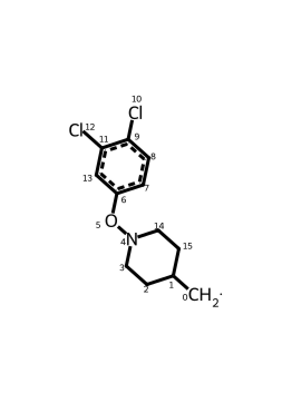 [CH2]C1CCN(Oc2ccc(Cl)c(Cl)c2)CC1